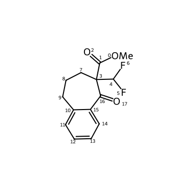 COC(=O)C1(C(F)F)CCCc2ccccc2C1=O